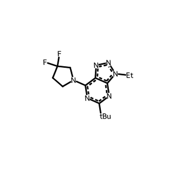 CCn1nnc2c(N3CCC(F)(F)C3)nc(C(C)(C)C)nc21